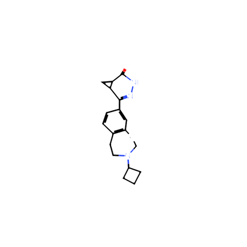 O=C1NN=C(c2ccc3c(c2)CCN(C2CCC2)CC3)C2CC12